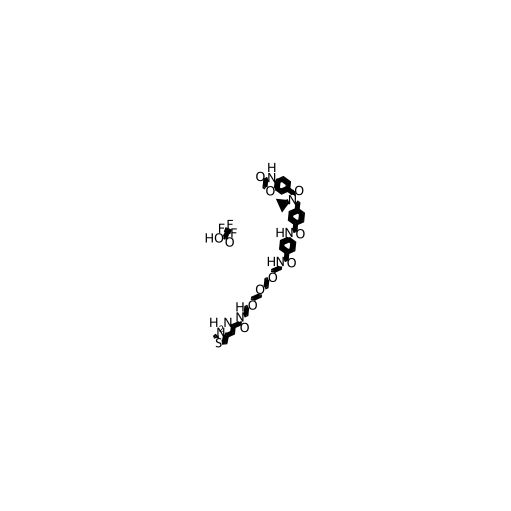 N[C@@H](Cc1cscn1)C(=O)NCCOCCOCCOCCNC(=O)c1ccc(NC(=O)c2ccc(CN(C(=O)c3ccc4c(c3)OCC(=O)N4)C3CC3)cc2)cc1.O=C(O)C(F)(F)F